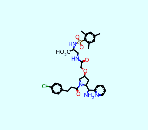 Cc1cc(C)c(S(=O)(=O)NC(CNC(=O)COC2CC(C(N)c3ccccn3)N(C(=O)CCc3ccc(Cl)cc3)C2)C(=O)O)c(C)c1